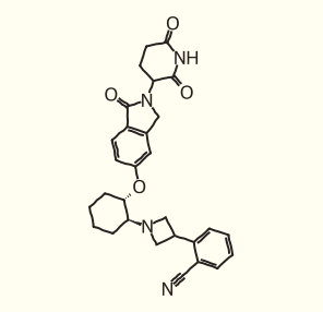 N#Cc1ccccc1C1CN([C@H]2CCCC[C@@H]2Oc2ccc3c(c2)CN(C2CCC(=O)NC2=O)C3=O)C1